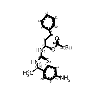 C[C@@H](NC(=S)NC(CCc1ccccc1)OC(=O)C(C)(C)C)c1ccc(N)cc1